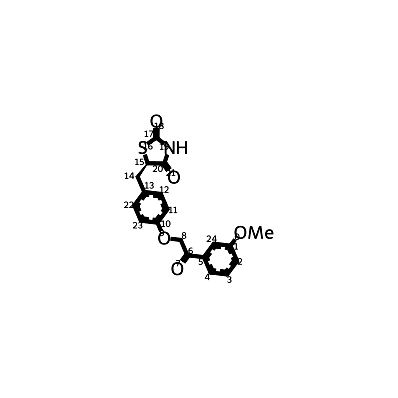 COc1cccc(C(=O)COc2ccc(C[C@H]3SC(=O)NC3=O)cc2)c1